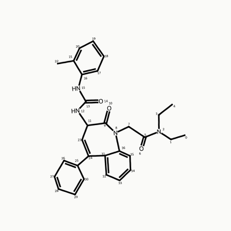 CCN(CC)C(=O)CN1C(=O)C(NC(=O)Nc2ccccc2C)C=C(c2ccccc2)c2ccccc21